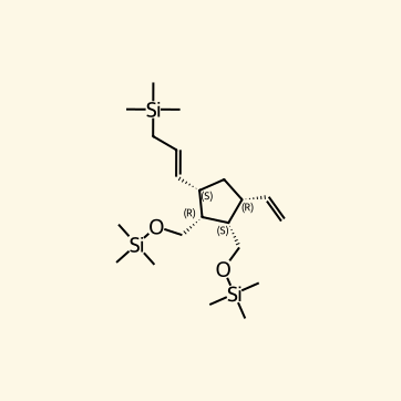 C=C[C@H]1C[C@@H](C=CC[Si](C)(C)C)[C@@H](CO[Si](C)(C)C)[C@H]1CO[Si](C)(C)C